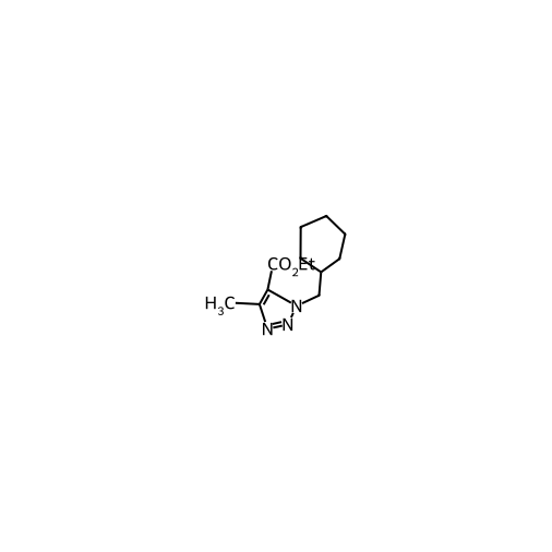 CCOC(=O)c1c(C)nnn1CC1CCCCC1